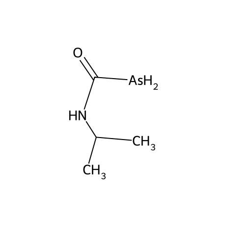 CC(C)NC(=O)[AsH2]